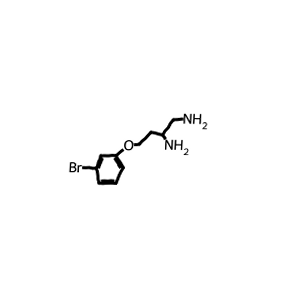 NCC(N)CCOc1cccc(Br)c1